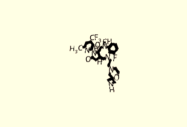 Cc1cc(C(F)(F)F)cc(N2C(=O)C[C@@H]3CN(CCN4CCOC5(CNC5)C4)c4c(F)cccc4N(C)C(=O)[C@H]32)n1